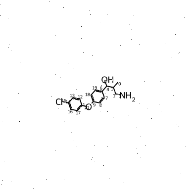 CC(CN)C(O)c1ccc(Oc2ccc(Cl)cc2)cc1